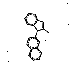 CC1=Cc2ccccc2C1c1ccc2ccccc2c1